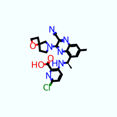 Cc1cc([C@@H](C)Nc2ccc(Cl)nc2C(=O)O)c2nc(N3CCC4(CCO4)C3)c(C#N)nc2c1